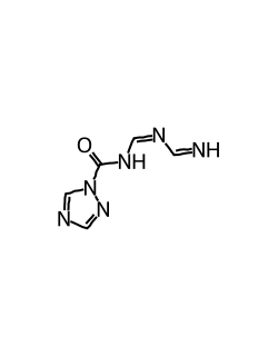 N=C/N=C\NC(=O)n1cncn1